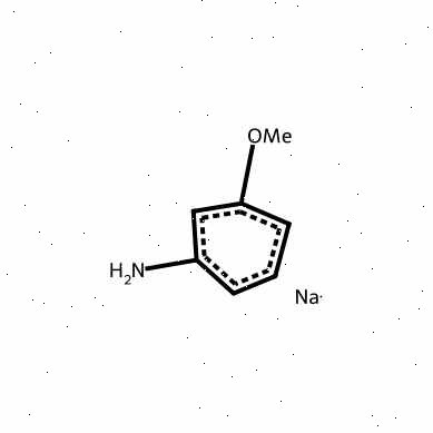 COc1cccc(N)c1.[Na]